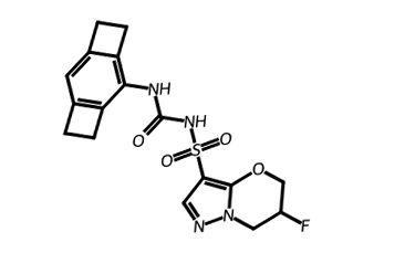 O=C(Nc1c2c(cc3c1CC3)CC2)NS(=O)(=O)c1cnn2c1OCC(F)C2